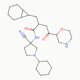 N#CC1(NC(=O)C(CC(=O)C2CNCCO2)CC2C3CCCCC32)CCN(C2CCCCC2)C1